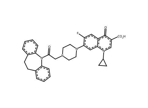 O=C(O)c1cn(C2CC2)c2cc(N3CCN(CC(=O)N4c5ccccc5CCc5ccccc54)CC3)c(F)cc2c1=O